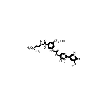 CCOc1cc(-c2ncc(NC(=O)Nc3cc(C(F)(F)F)cc(S(=O)(=O)NCCN(C)C)c3)c(C)n2)c[nH]c1=O.Cl